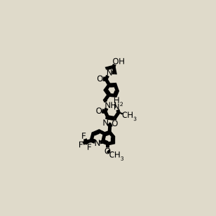 COc1ccc(-c2nc(C(=O)NCc3cccc(C(=O)N4CC(O)C4)c3)c([C@H](C)N)o2)c2ccc(C(F)(F)F)nc12